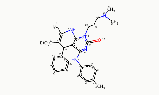 CCOC(=O)C1=C(C)Nc2c(c(Nc3ccc(C)cc3)nc(=O)n2CCCN(C)C)C1c1ccccc1